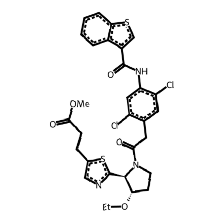 CCO[C@H]1CCN(C(=O)Cc2cc(Cl)c(NC(=O)c3csc4ccccc34)cc2Cl)[C@@H]1c1ncc(CCC(=O)OC)s1